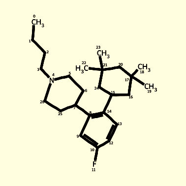 CCCCN1CCC(c2cc(F)ccc2C2CC(C)(C)CC(C)(C)C2)CC1